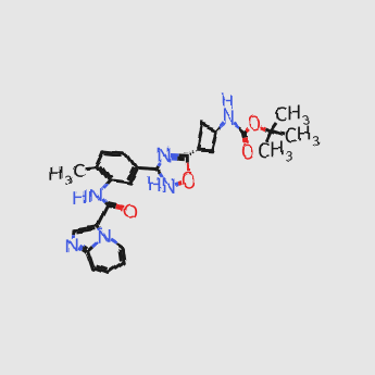 Cc1ccc(C2N=C([C@H]3C[C@H](NC(=O)OC(C)(C)C)C3)ON2)cc1NC(=O)c1cnc2ccccn12